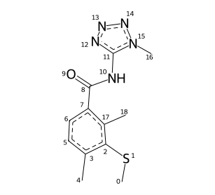 CSc1c(C)ccc(C(=O)Nc2nnnn2C)c1C